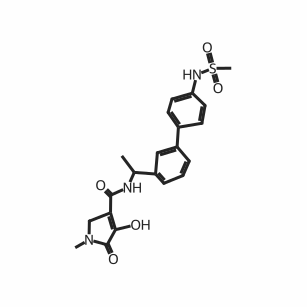 CC(NC(=O)C1=C(O)C(=O)N(C)C1)c1cccc(-c2ccc(NS(C)(=O)=O)cc2)c1